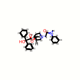 CN(C(=O)C[N+]12CCC(CC1)[C@@H](OC(=O)C(O)(c1ccccc1)c1ccccc1)C2)c1ccccc1